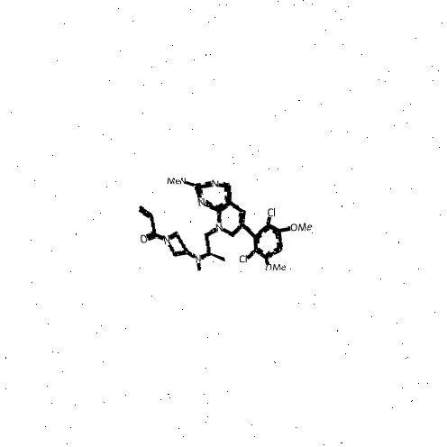 C=CC(=O)N1CC(N(C)[C@H](C)CN2CC(c3c(Cl)c(OC)cc(OC)c3Cl)=Cc3cnc(NC)nc32)C1